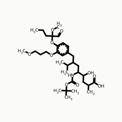 CCCC(C=O)(OC)Oc1ccc(CC(CC(NC(=O)OC(C)(C)C)C(O)CC(C)C(=O)O)C(C)C)cc1OCCCOC